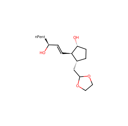 CCCCC[C@H](O)/C=C/[C@@H]1[C@@H](CC2OCCO2)CC[C@H]1O